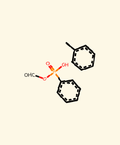 Cc1ccccc1.O=COP(=O)(O)c1ccccc1